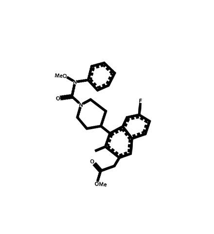 COC(=O)Cc1cc2ccc(F)cc2c(C2CCN(C(=O)N(OC)c3ccccc3)CC2)c1C